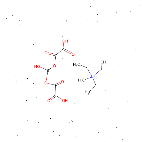 CC[N+](C)(CC)CC.O=C(O)C(=O)OB(O)OC(=O)C(=O)O